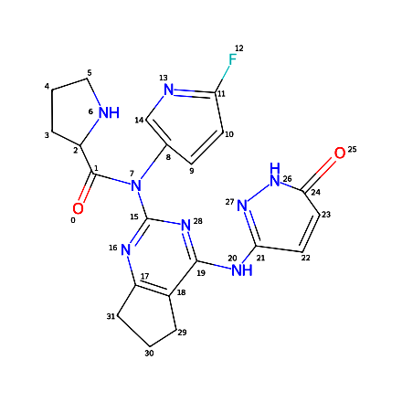 O=C(C1CCCN1)N(c1ccc(F)nc1)c1nc2c(c(Nc3ccc(=O)[nH]n3)n1)CCC2